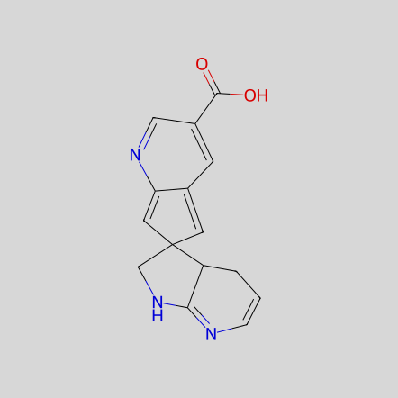 O=C(O)c1cnc2c(c1)=CC1(C=2)CNC2=NC=CCC21